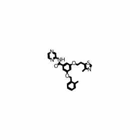 Cc1ccccc1COc1cc(OCCc2scnc2C)cc(C(=O)Nc2cnccn2)c1